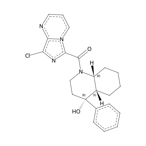 O=C(c1nc(Cl)c2ncccn12)N1CC[C@](O)(c2ccccc2)[C@H]2CCCC[C@H]21